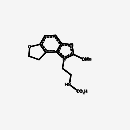 COc1nc2ccc3c(c2n1CCNC(=O)O)CCO3